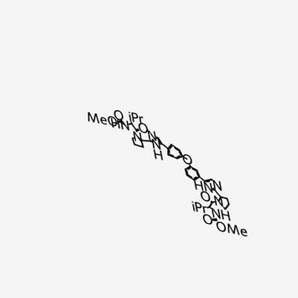 COC(=O)NC(C(=O)N1CCCC1c1ncc(-c2ccc(Oc3cccc(-c4cnc(C5CCCN5C(=O)C(NC(=O)OC)C(C)C)[nH]4)c3)cc2)[nH]1)C(C)C